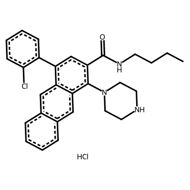 CCCCNC(=O)c1cc(-c2ccccc2Cl)c2cc3ccccc3cc2c1N1CCNCC1.Cl